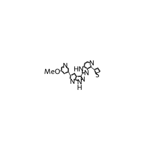 COc1cncc(-c2cnc3[nH]nc(-c4nc5c(-c6ccsc6)nccc5[nH]4)c3c2)c1